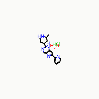 CC1CC(c2ncc3nc(-c4ccccn4)cc-3[nH]2)CCN1.Cl.O